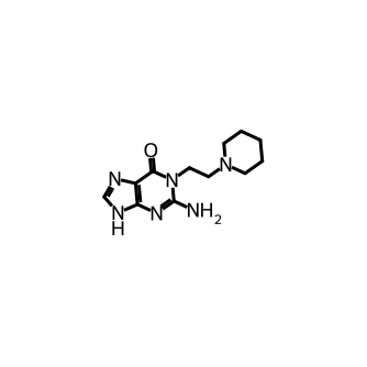 Nc1nc2[nH]cnc2c(=O)n1CCN1CCCCC1